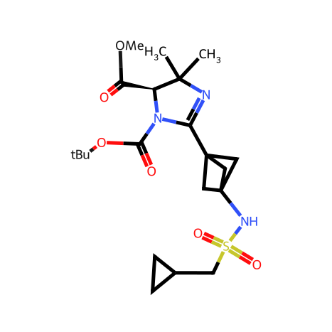 COC(=O)[C@@H]1N(C(=O)OC(C)(C)C)C(C23CC(NS(=O)(=O)CC4CC4)(C2)C3)=NC1(C)C